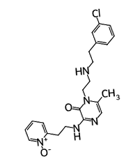 Cc1cnc(NCCc2cccc[n+]2[O-])c(=O)n1CCNCCc1cccc(Cl)c1